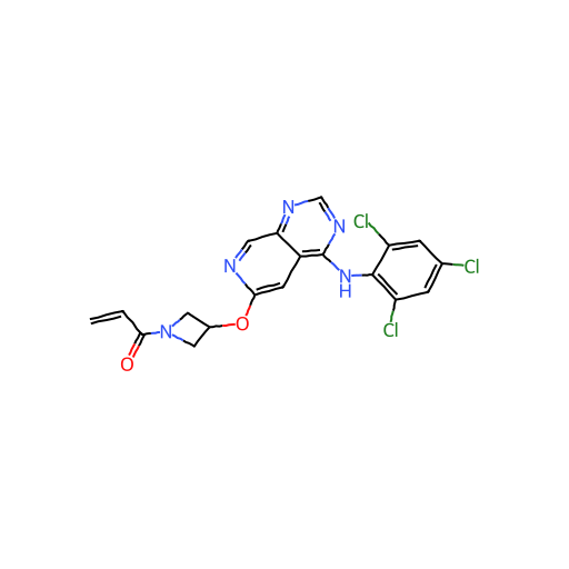 C=CC(=O)N1CC(Oc2cc3c(Nc4c(Cl)cc(Cl)cc4Cl)ncnc3cn2)C1